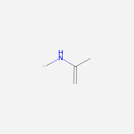 [CH2]NC(=C)C